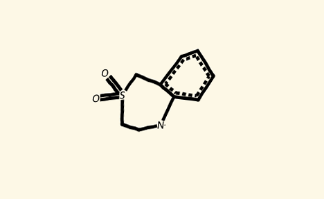 O=S1(=O)CC[N]c2ccccc2C1